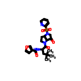 CC(C)(C)CC(NC(=O)c1ccoc1)C(=O)N1CCC2C1C(=O)CN2S(=O)(=O)c1ccccn1